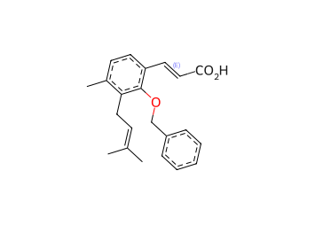 CC(C)=CCc1c(C)ccc(/C=C/C(=O)O)c1OCc1ccccc1